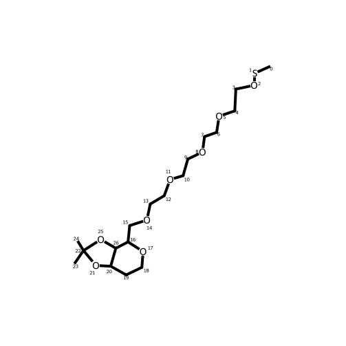 CSOCCOCCOCCOCCOCC1OCCC2OC(C)(C)OC12